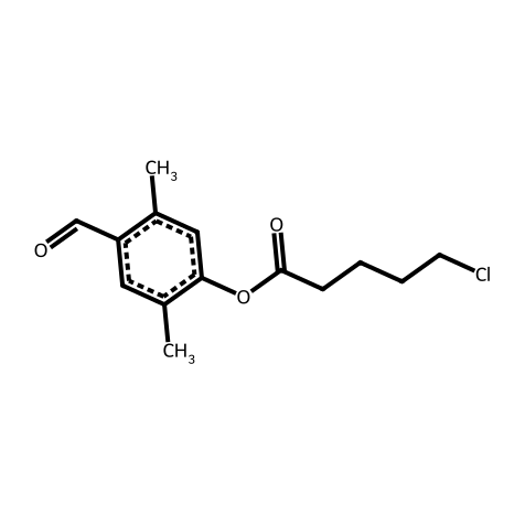 Cc1cc(OC(=O)CCCCCl)c(C)cc1C=O